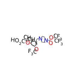 CC(C)(Oc1cc(CN2CCN(C(=O)OC(C(F)(F)F)C(F)(F)F)CC2)cc(OC(F)(F)F)c1)C(=O)O